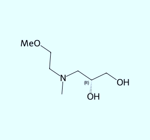 COCCN(C)C[C@@H](O)CO